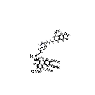 CCCOCCN(CCCOC(=O)/C=C\C(=O)OCCC[N@+]1(C)CCc2cc(OC)c(OC)cc2[C@H]1Cc1ccc(OC)c(OC)c1)Cc1ccc2c(c1)OCO2